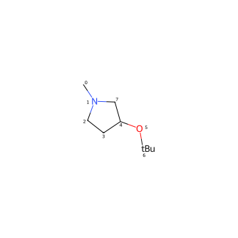 CN1CCC(OC(C)(C)C)C1